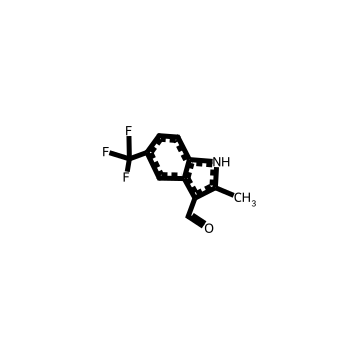 Cc1[nH]c2ccc(C(F)(F)F)cc2c1C=O